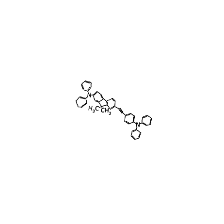 CC1(C)c2cc(C#Cc3ccc(N(c4ccccc4)c4ccccc4)cc3)ccc2-c2ccc(N(C3=CCCC=C3)c3ccccc3)cc21